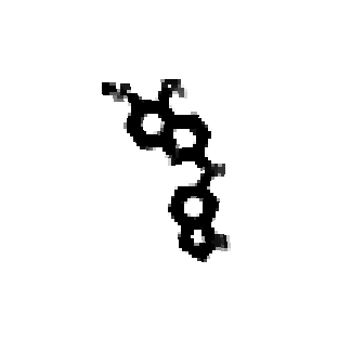 Cc1ccc2nc(Nc3ccc4cc[nH]c4c3)ccc2c1C(F)(F)F